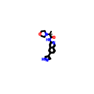 C[C@@H](C(=O)Nc1cc2cc(-c3cn[nH]c3)ccc2cn1)N1CCOCC1